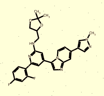 Cn1cc(-c2ccn3c(-c4cc(NCC5COC(C)(C)O5)nc(-c5ccc(F)cc5F)c4)cnc3c2)cn1